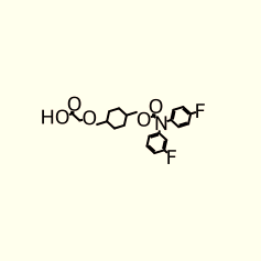 O=C(O)COCC1CCC(COC(=O)N(c2ccc(F)cc2)c2cccc(F)c2)CC1